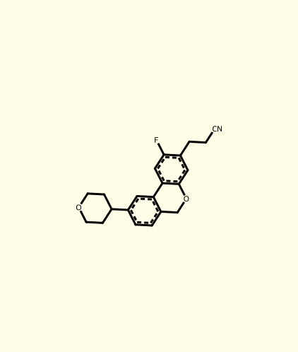 N#CCCc1cc2c(cc1F)-c1cc(C3CCOCC3)ccc1CO2